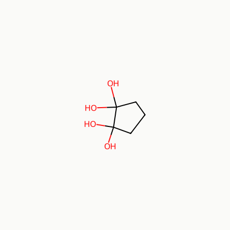 OC1(O)CCCC1(O)O